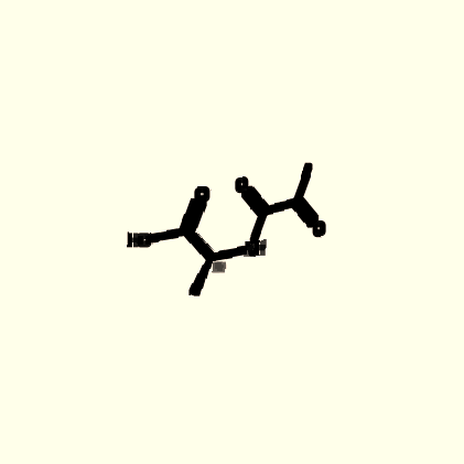 CC(=O)C(=O)N[C@@H](C)C(=O)O